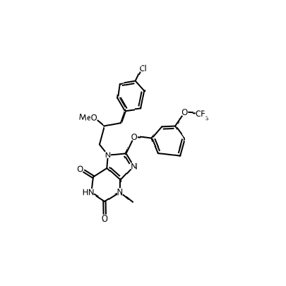 COC(Cc1ccc(Cl)cc1)Cn1c(Oc2cccc(OC(F)(F)F)c2)nc2c1c(=O)[nH]c(=O)n2C